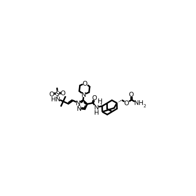 CC(C)(/C=C/n1ncc(C(=O)N[C@H]2C3CC4CC2C[C@](COC(N)=O)(C4)C3)c1N1CCOCC1)NS(C)(=O)=O